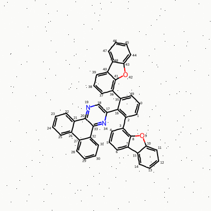 c1cc(-c2cccc3c2oc2ccccc23)c(-c2cnc3c4ccccc4c4ccccc4c3n2)c(-c2cccc3c2oc2ccccc23)c1